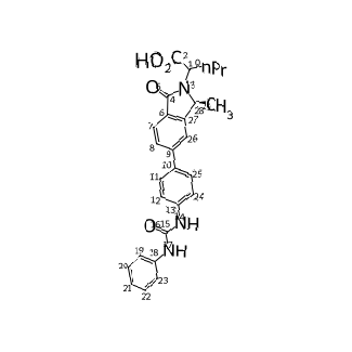 CCCC(C(=O)O)N1C(=O)c2ccc(-c3ccc(NC(=O)Nc4ccccc4)cc3)cc2[C@@H]1C